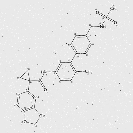 Cc1ccc(NC(=O)C2(c3ccc4c(c3)OCO4)CC2)cc1-c1ccc(CNS(C)(=O)=O)cc1